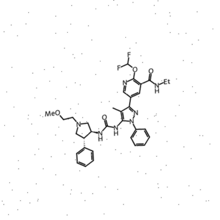 CCNC(=O)c1cc(-c2nn(-c3ccccc3)c(NC(=O)N[C@@H]3CN(CCOC)C[C@H]3c3ccccc3)c2C)cnc1OC(F)F